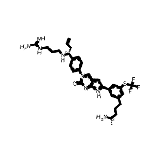 C=CC[C@H](NCCCNC(=N)N)c1ccc(-n2cc3cc(-c4cc(CCC[C@H](C)N)cc(SC(F)(F)F)c4)[nH]c3nc2=O)cc1